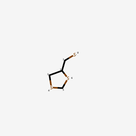 [S]CC1CSCS1